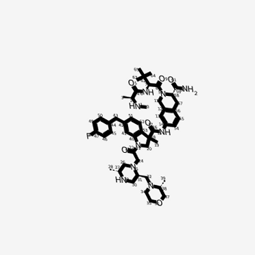 CN[C@@H](C)C(=O)N[C@H](C(=O)N1Cc2cc(NC(=O)C3(C)CN(C(=O)CN4C[C@@H](C)NC[C@@H]4CN4CCOC[C@H]4C)c4cc(Cc5ccc(F)cc5)ccc43)ccc2C[C@H]1C(N)=O)C(C)(C)C